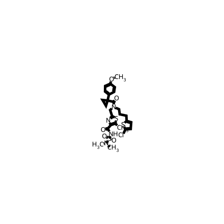 COc1ccc(C2(C(=O)N(CCCc3ccc(Cl)s3)Cc3nc(C(=O)NS(=O)(=O)N(C)C)c(C)s3)CC2)cc1